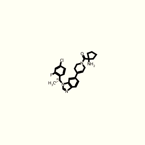 C[C@H](c1ccc(Cl)cc1F)n1cnc2ccc(C3=CCN(C(=O)C4(N)CCCC4)CC3)cc21